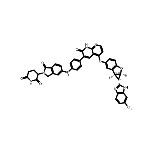 O=C1CCC(N2Cc3cc(Bc4ccc(-c5cc6c(Oc7ccc8c(c7)[C@H]7[C@@H](O8)[C@@H]7c7nc8ccc(C(F)(F)F)cc8[nH]7)ccnc6[nH]c5=O)cc4)ccc3C2=O)C(=O)N1